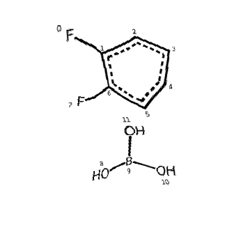 Fc1ccccc1F.OB(O)O